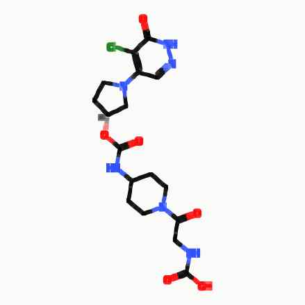 O=C(O)NCC(=O)N1CCC(NC(=O)O[C@@H]2CCN(c3cn[nH]c(=O)c3Cl)C2)CC1